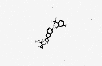 O=C(O)C1(CN2CC3(Cc4ccc(OCc5cc(F)ccc5C(F)(F)F)cc4C3)C2)CC1